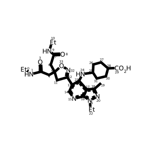 CCNC(=O)CC1(CC(=O)NCC)CC(c2cnc3c(c(C)nn3CC)c2NC2CCC(C(=O)O)CC2)=NO1